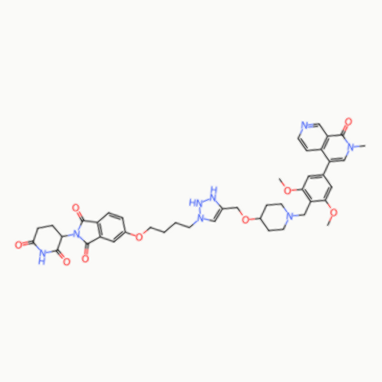 COc1cc(-c2cn(C)c(=O)c3cnccc23)cc(OC)c1CN1CCC(OCC2=CN(CCCCOc3ccc4c(c3)C(=O)N(C3CCC(=O)NC3=O)C4=O)NN2)CC1